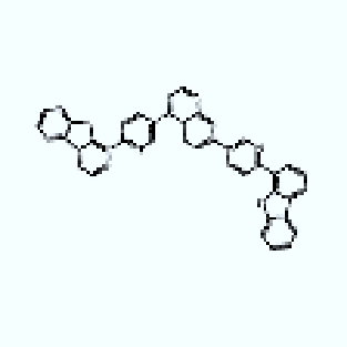 C1=CC2=CC(c3ccc(-c4cccc5c4oc4ccccc45)nc3)=CCC2C(c2ccc(-c3cccc4c3Cc3ccccc3-4)nc2)=C1